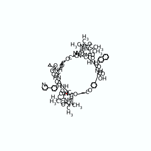 CN[C@@H](C)C(=O)N[C@H](C(=O)N1C[C@@H]2C[C@H]1C(=O)N[C@@H](Cc1ccc3ccccc3c1)C(=O)N[C@H](C(=O)O)Cc1ccc(cc1)OC/C=C/CO[C@H]1C[C@@H](C(=O)N[C@@H](Cc3cccc(-c4cccnc4)c3)C(=O)N[C@H](C(=O)NS(=O)(=O)C3CC3)Cc3ccc(cc3)OCc3cn2nn3)N(C(=O)[C@@H](NC(=O)[C@H](C)NC)C(C)(C)C)C1)C(C)(C)C